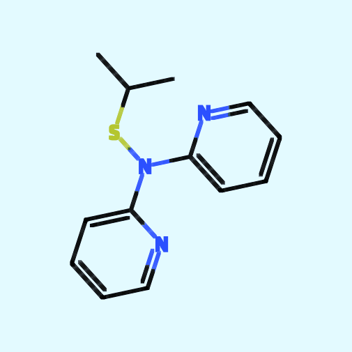 CC(C)SN(c1ccccn1)c1ccccn1